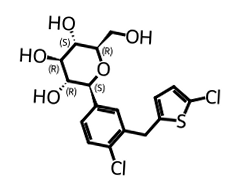 OC[C@H]1O[C@@H](c2ccc(Cl)c(Cc3ccc(Cl)s3)c2)[C@H](O)[C@@H](O)[C@@H]1O